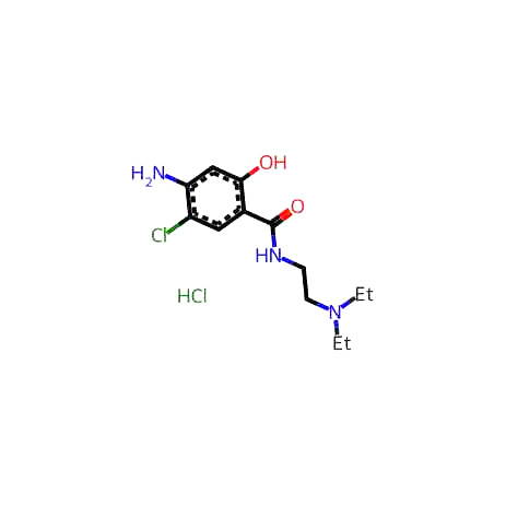 CCN(CC)CCNC(=O)c1cc(Cl)c(N)cc1O.Cl